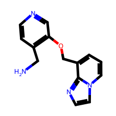 NCc1ccncc1OCc1cccn2ccnc12